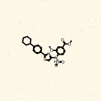 COC(=O)c1ccc(N(c2csc(-c3ccc(C4CCCCC4)cc3)n2)[SH](=O)=O)c(OC)c1